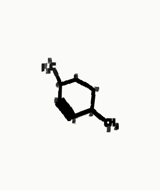 CC1C#CC(C(F)(F)F)CC1